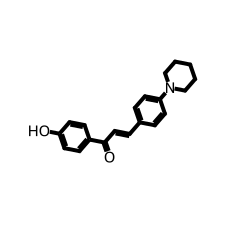 O=C(/C=C/c1ccc(N2CCCCC2)cc1)c1ccc(O)cc1